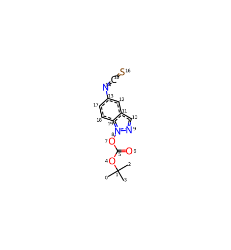 CC(C)(C)OC(=O)On1ncc2cc(N=C=S)ccc21